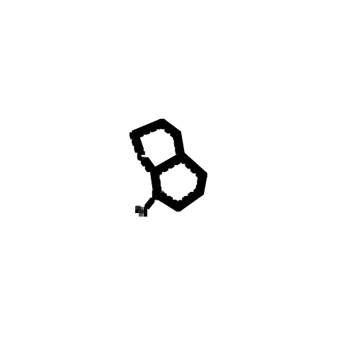 [2H][n+]1cccc2ccccc21